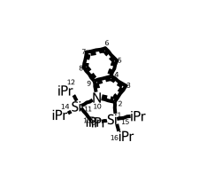 CC(C)[Si](c1cc2ccccc2n1[Si](C(C)C)(C(C)C)C(C)C)(C(C)C)C(C)C